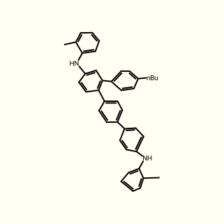 CCCCc1ccc(-c2cc(Nc3ccccc3C)ccc2-c2ccc(-c3ccc(Nc4ccccc4C)cc3)cc2)cc1